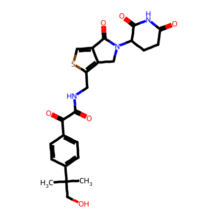 CC(C)(CO)c1ccc(C(=O)C(=O)NCc2scc3c2CN(C2CCC(=O)NC2=O)C3=O)cc1